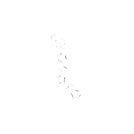 Cc1nc(N2CCOC(CO)C2)ccc1C(=O)Nc1cc(-c2nc3ccccc3[nH]2)n(C)n1